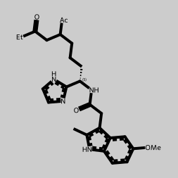 CCC(=O)CC(CCC[C@H](NC(=O)Cc1c(C)[nH]c2ccc(OC)cc12)c1ncc[nH]1)C(C)=O